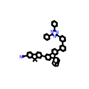 CC1(C)c2cc(C#N)ccc2-c2ccc(-c3ccc4c(c3)-c3ccc(-c5cccc(-c6cccc(-c7nc(-c8ccccc8)nc(-c8ccccc8)n7)c6)c5)cc3C43C4CC5CC(C4)CC3C5)cc21